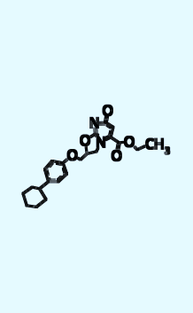 CCOC(=O)c1cc(=O)nc2n1CC(COc1ccc(C3CCCCC3)cc1)O2